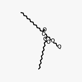 CCCCCCCCCCCCCC(=O)OCC(CCOCCCOC)OC(=O)CCCCCCCCCCCCC